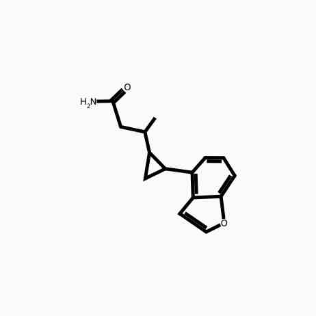 CC(CC(N)=O)C1CC1c1cccc2occc12